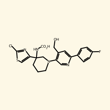 O=C(O)NC1(c2csc(Cl)n2)CCCN(c2cnc(-c3ccc(F)cc3)cc2CO)C1